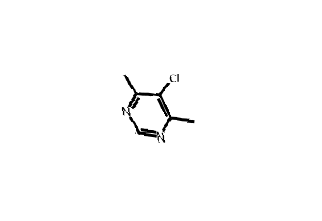 Cc1n[c]nc(C)c1Cl